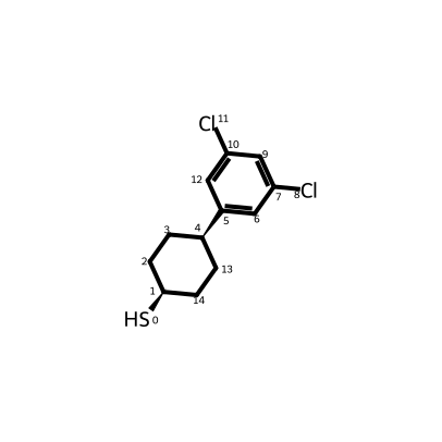 S[C@H]1CC[C@@H](c2cc(Cl)cc(Cl)c2)CC1